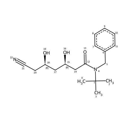 CC(C)(C)N(Cc1ccccc1)C(=O)C[C@H](O)C[C@H](O)CC#N